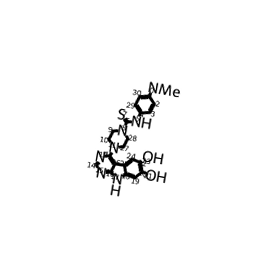 CNc1ccc(NC(=S)N2CCN(c3ncnc4[nH]c5cc(O)c(O)cc5c34)CC2)cc1